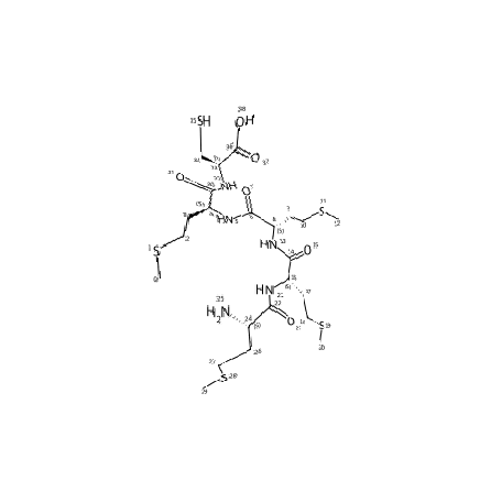 CSCC[C@H](NC(=O)[C@H](CCSC)NC(=O)[C@H](CCSC)NC(=O)[C@@H](N)CCSC)C(=O)N[C@@H](CS)C(=O)O